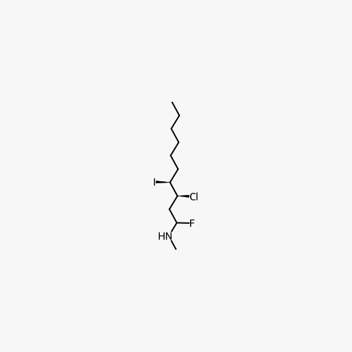 CCCCCC[C@H](I)[C@@H](Cl)CC(F)NC